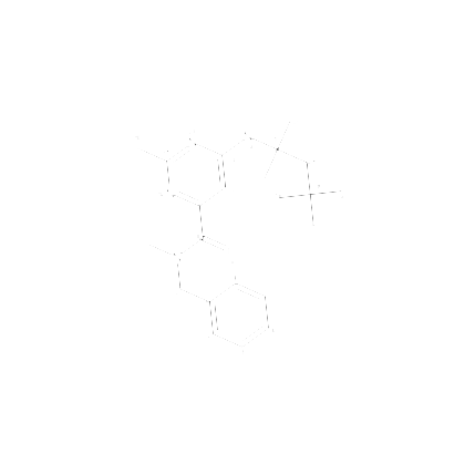 CN(Cc1ccccc1)C(=O)c1cc(NC(C)(C)CC(C)(C)C)nc(Cl)n1